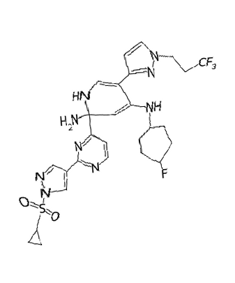 NC1(c2ccnc(-c3cnn(S(=O)(=O)C4CC4)c3)n2)C=C(NC2CCC(F)CC2)C(c2ccn(CCC(F)(F)F)n2)=CN1